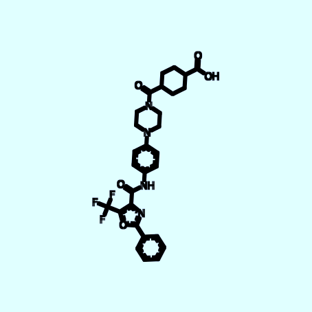 O=C(Nc1ccc(N2CCN(C(=O)C3CCC(C(=O)O)CC3)CC2)cc1)c1nc(-c2ccccc2)oc1C(F)(F)F